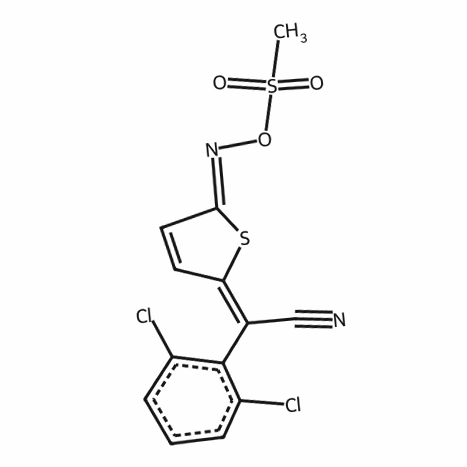 CS(=O)(=O)ON=C1C=CC(=C(C#N)c2c(Cl)cccc2Cl)S1